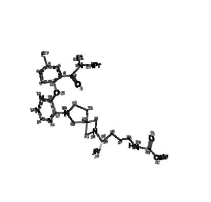 CCN(C(=O)c1cc(F)ccc1Oc1nncnc1N1CCC2(C1)CN([C@H](CCCNC(=O)OC)C(C)C)C2)C(C)C